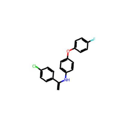 C=C(Nc1ccc(Oc2ccc(F)cc2)cc1)c1ccc(Cl)cc1